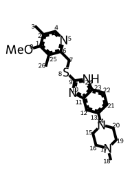 COc1c(C)cnc(CSc2nc3cc(N4CCN(C)CC4)ccc3[nH]2)c1C